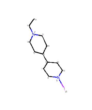 CCN1CCC(C2CCN(I)CC2)CC1